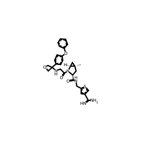 C[C@@]12C[C@@H]1N(C(=O)CNC1(c3ccc(Oc4ccccc4)cc3)COC1)[C@H](C(=O)NCc1cc(C(=N)N)cs1)C2